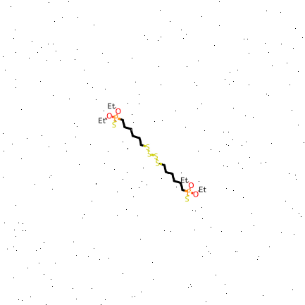 CCOP(=S)(CCCCCCSSSSCCCCCCP(=S)(OCC)OCC)OCC